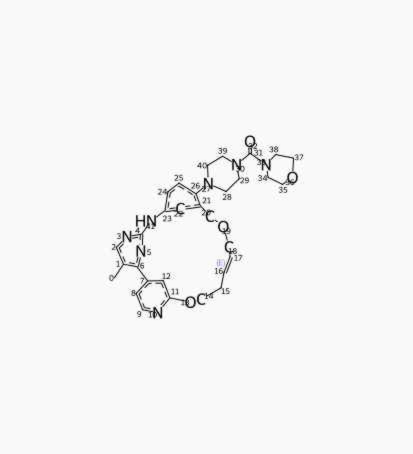 Cc1cnc2nc1-c1ccnc(c1)OCC/C=C/COCc1cc(ccc1N1CCN(C(=O)N3CCOCC3)CC1)N2